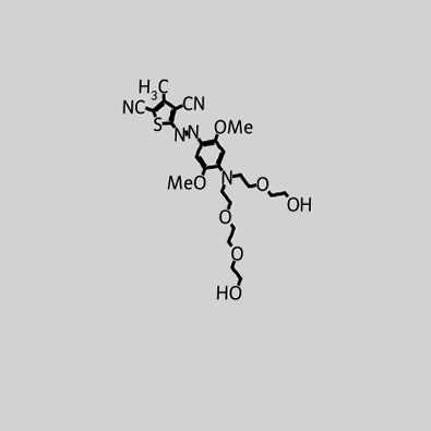 COc1cc(N(CCOCCO)CCOCCOCCO)c(OC)cc1/N=N/c1sc(C#N)c(C)c1C#N